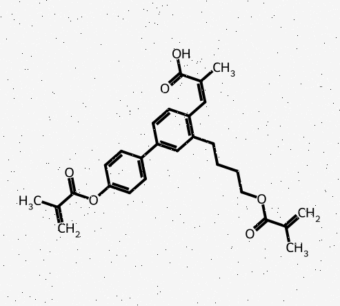 C=C(C)C(=O)OCCCCc1cc(-c2ccc(OC(=O)C(=C)C)cc2)ccc1C=C(C)C(=O)O